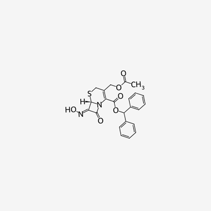 CC(=O)OCC1=C(C(=O)OC(c2ccccc2)c2ccccc2)N2C(=O)C(=NO)[C@@H]2SC1